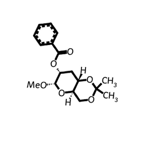 CO[C@H]1O[C@@H]2COC(C)(C)O[C@H]2C[C@H]1OC(=O)c1ccccc1